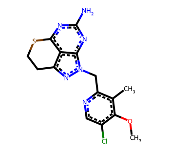 COc1c(Cl)cnc(Cn2nc3c4c(nc(N)nc42)SCC3)c1C